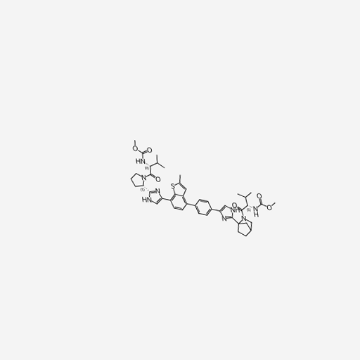 COC(=O)N[C@H](C(=O)N1CC2CCC1(c1nc(-c3ccc(-c4ccc(-c5c[nH]c([C@@H]6CCCN6C(=O)[C@H](NC(=O)OC)C(C)C)n5)c5sc(C)cc45)cc3)c[nH]1)C2)C(C)C